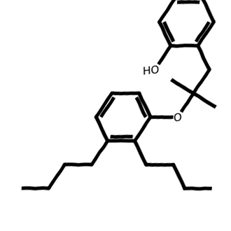 CCCCc1cccc(OC(C)(C)Cc2ccccc2O)c1CCCC